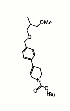 COCC(C)COCc1ccc(C2=CCN(C(=O)OC(C)(C)C)CC2)cc1